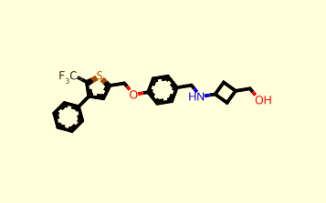 OCC1CC(NCc2ccc(OCc3cc(-c4ccccc4)c(C(F)(F)F)s3)cc2)C1